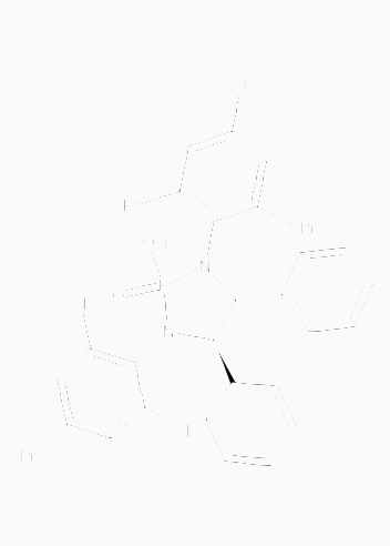 CC(C)c1cc(C(C)C)c(N2[C@H](c3ccccc3)[C@@H](c3ccccc3)N(c3c(C(C)C)cc(C(C)C)cc3C(C)C)P2(=O)O)c(C(C)C)c1